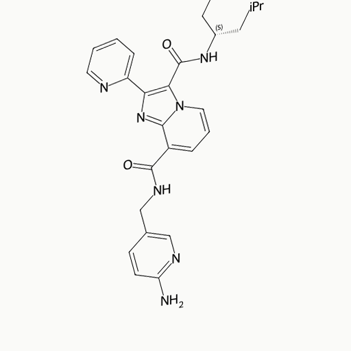 CC(C)C[C@@H](CO)NC(=O)c1c(-c2ccccn2)nc2c(C(=O)NCc3ccc(N)nc3)cccn12